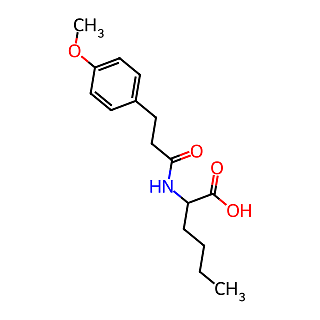 CCCCC(NC(=O)CCc1ccc(OC)cc1)C(=O)O